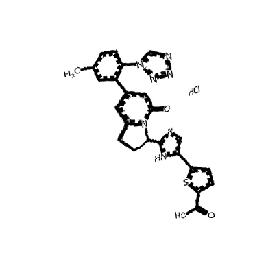 Cc1ccc(-n2cnnn2)c(-c2cc3n(c(=O)c2)C(c2ncc(-c4ccc(C(=O)O)s4)[nH]2)CC3)c1.Cl